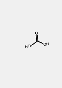 O=C(O)[TeH]